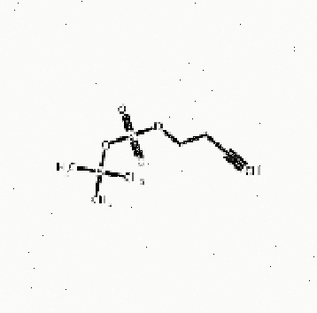 C#CCCOS(=O)(=O)O[Si](C)(C)C